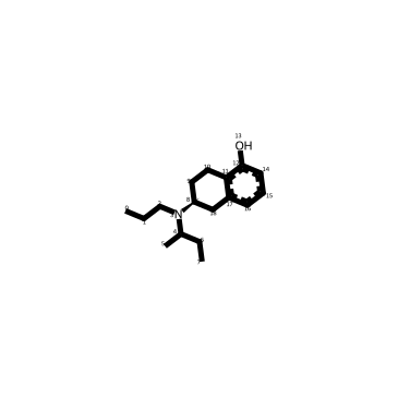 CCCN(C(C)CC)[C@H]1CCc2c(O)cccc2C1